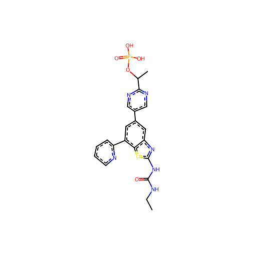 CCNC(=O)Nc1nc2cc(-c3cnc(C(C)OP(=O)(O)O)nc3)cc(-c3ccccn3)c2s1